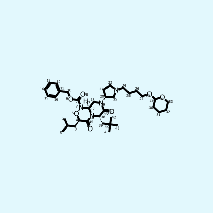 CC(C)C[C@H]1ON(C(=O)OCc2ccccc2)[C@H]2CN([C@@H]3CCN(CCCCOC4CCCCO4)C3)C(=O)[C@H](CC(C)(C)C)N2C1=O